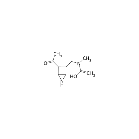 C=C(O)N(C)CC1C2NC2C1C(C)=O